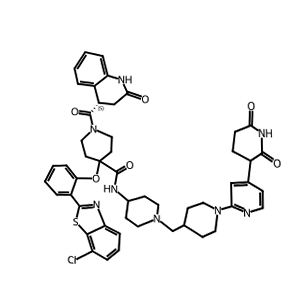 O=C1CCC(c2ccnc(N3CCC(CN4CCC(NC(=O)C5(Oc6ccccc6-c6nc7cccc(Cl)c7s6)CCN(C(=O)[C@H]6CC(=O)Nc7ccccc76)CC5)CC4)CC3)c2)C(=O)N1